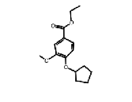 CCOC(=O)c1ccc(OC2CCCC2)c(OC)c1